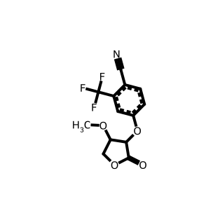 COC1COC(=O)C1Oc1ccc(C#N)c(C(F)(F)F)c1